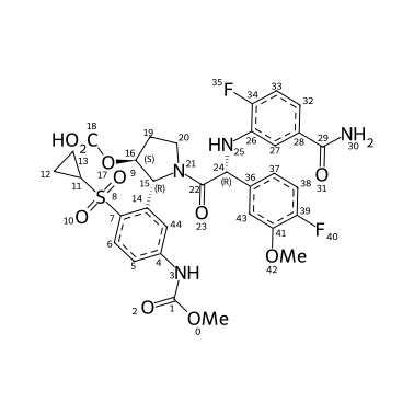 COC(=O)Nc1ccc(S(=O)(=O)C2CC2)c([C@@H]2[C@@H](OC(=O)O)CCN2C(=O)[C@H](Nc2cc(C(N)=O)ccc2F)c2ccc(F)c(OC)c2)c1